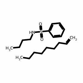 C=CCCCCCCC.CCCCNS(=O)(=O)c1ccccc1